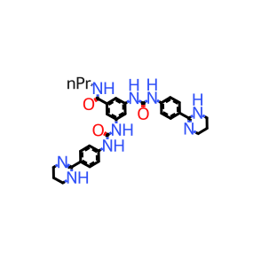 CCCNC(=O)c1cc(NC(=O)Nc2ccc(C3=NCCCN3)cc2)cc(NC(=O)Nc2ccc(C3=NCCCN3)cc2)c1